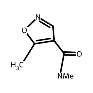 [CH2]NC(=O)c1cnoc1C